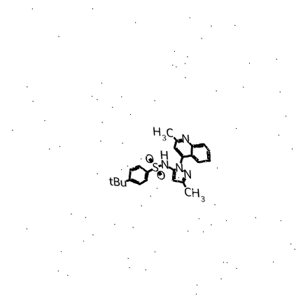 Cc1cc(-n2nc(C)cc2NS(=O)(=O)c2ccc(C(C)(C)C)cc2)c2ccccc2n1